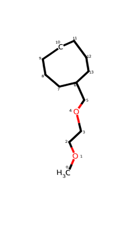 COCCOCC1CCCCCCC1